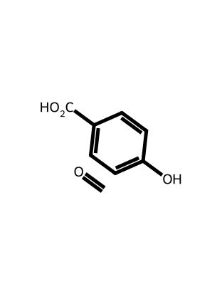 C=O.O=C(O)c1ccc(O)cc1